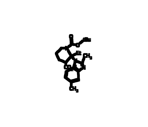 CCC1(n2c(C)nc3cc(C)ccc32)C(C(=O)O)CCCN1C(=O)OC(C)(C)C